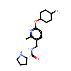 Cc1nc(OC2CCC(C(F)(F)F)CC2)ccc1CNC(=O)[C@@H]1CCCN1